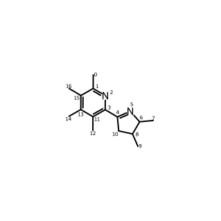 Cc1nc(C2=NC(C)C(C)C2)c(C)c(C)c1C